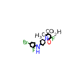 Cc1c(C(=O)O)cc(F)c(=O)n1C1CCC(Nc2ccc(Br)cc2F)CC1